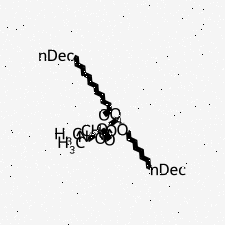 CCCCCCCCCCCCCCCCCCCCCC(=O)O[C@H](COCCCCCCCCCCCCCCCCCC)COP(=O)([O-])OCC[N+](C)(C)C